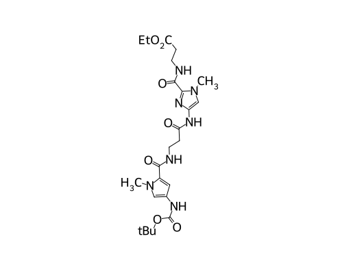 CCOC(=O)CCNC(=O)c1nc(NC(=O)CCNC(=O)c2cc(NC(=O)OC(C)(C)C)cn2C)cn1C